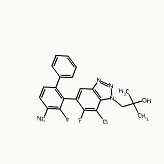 CC(C)(O)Cn1nnc2cc(-c3c(-c4ccccc4)ccc(C#N)c3F)c(F)c(Cl)c21